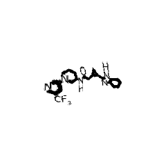 O=C(CC1CC1c1nc2ccccc2[nH]1)N[C@@H]1CCCN(c2cncc(C(F)(F)F)c2)C1